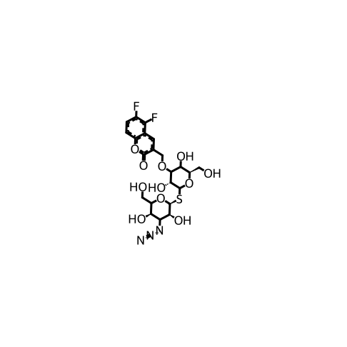 [N-]=[N+]=NC1[C@@H](O)C(CO)O[C@@H](SC2O[C@H](CO)C(O)C(OCc3cc4c(F)c(F)ccc4oc3=O)[C@H]2O)[C@H]1O